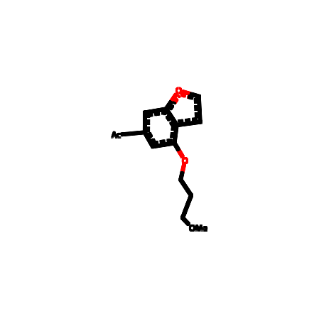 COCCCOc1cc(C(C)=O)cc2occc12